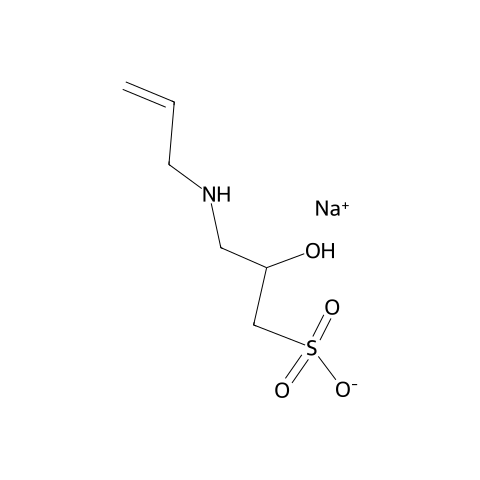 C=CCNCC(O)CS(=O)(=O)[O-].[Na+]